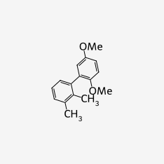 COc1ccc(OC)c(-c2cccc(C)c2C)c1